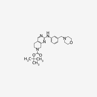 CC(C)(C)OC(=O)N1CCc2cnc(Nc3cccc(CN4CCOCC4)c3)nc2C1